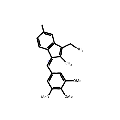 COc1cc(/C=C2\C(C)=C(CN)c3cc(F)ccc32)cc(OC)c1OC